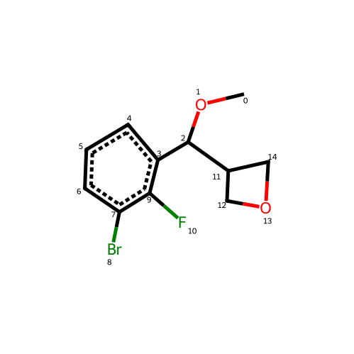 COC(c1cccc(Br)c1F)C1COC1